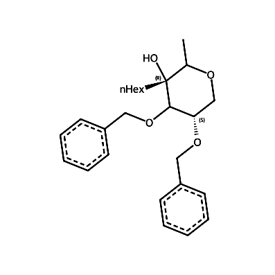 CCCCCC[C@@]1(O)C(C)OC[C@H](OCc2ccccc2)C1OCc1ccccc1